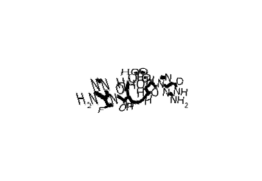 Nc1nc2c(ncn2[C@@H]2O[C@@H]3CCC[C@H]4[C@@H](O)[C@H](n5cc(F)c6c(N)ncnc65)O[C@@H]4COP(=O)(O)O[C@@H]2[C@@H]3O)c(=O)[nH]1